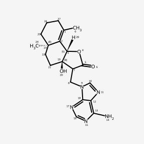 CC1=C2[C@@H]3OC(=O)C(Cn4cnc5c(N)ncnc54)[C@]3(O)CC[C@@]2(C)CCC1